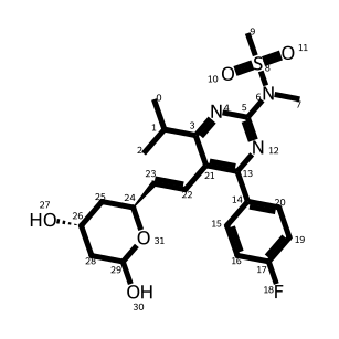 CC(C)c1nc(N(C)S(C)(=O)=O)nc(-c2ccc(F)cc2)c1/C=C/[C@@H]1C[C@@H](O)CC(O)O1